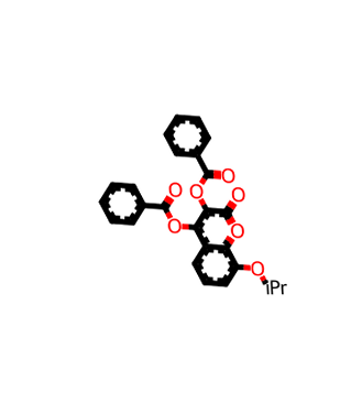 CC(C)Oc1cccc2c(OC(=O)c3ccccc3)c(OC(=O)c3ccccc3)c(=O)oc12